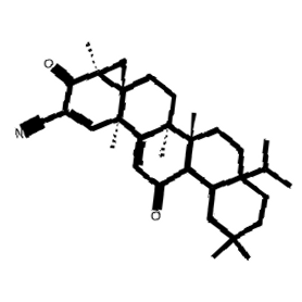 CC(C)C12CCC(C)(C)CC1C1C(=O)C=C3[C@@]4(C)C=C(C#N)C(=O)[C@@]5(C)C[C@@]45CC[C@@]3(C)[C@]1(C)CC2